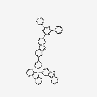 c1ccc(-c2nc(-c3ccccc3)nc(-c3ccc4c(c3)oc3cc(-c5ccc(C6(c7ccc8oc9ccccc9c8c7)c7ccccc7-c7ccccc76)cc5)ccc34)n2)cc1